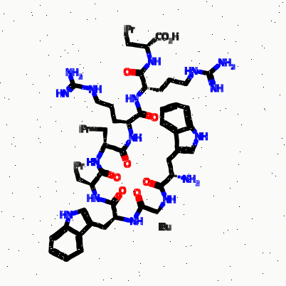 CC[C@H](C)[C@H](NC(=O)[C@@H](N)Cc1c[nH]c2ccccc12)C(=O)N[C@@H](Cc1c[nH]c2ccccc12)C(=O)N[C@@H](CC(C)C)C(=O)N[C@@H](CC(C)C)C(=O)N[C@@H](CCCNC(=N)N)C(=O)N[C@@H](CCCNC(=N)N)C(=O)N[C@@H](CC(C)C)C(=O)O